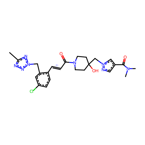 Cc1nnn(Cc2cc(Cl)ccc2/C=C/C(=O)N2CCC(O)(Cn3cc(C(=O)N(C)C)cn3)CC2)n1